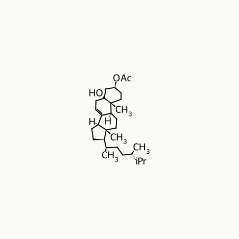 CC(=O)O[C@H]1CC[C@]2(C)[C@H]3CC[C@]4(C)[C@@H]([C@H](C)CC[C@H](C)C(C)C)CC[C@H]4C3=CC[C@]2(O)C1